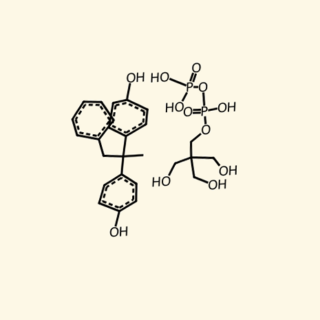 CC(Cc1ccccc1)(c1ccc(O)cc1)c1ccc(O)cc1.O=P(O)(O)OP(=O)(O)OCC(CO)(CO)CO